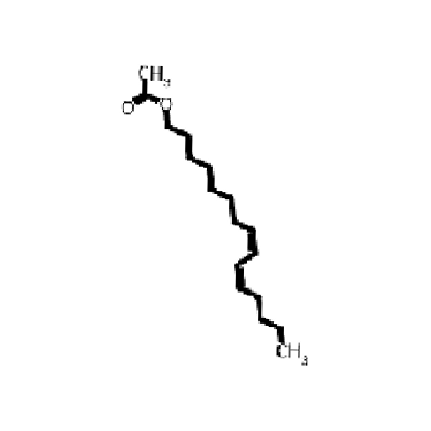 CCCC/C=C\C=C/CCCCCCCOC(C)=O